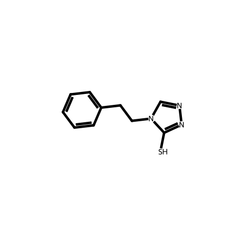 Sc1nncn1CCc1ccccc1